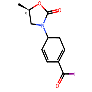 C[C@@H]1CN(C2C=CC(C(=O)I)=CC2)C(=O)O1